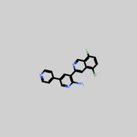 Nc1ncc(-c2ccncc2)cc1-c1cc2c(Cl)ccc(F)c2cn1